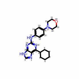 c1nc2c(C3CCCCC3)nc(Nc3ccc(N4CCOCC4)cc3)nc2[nH]1